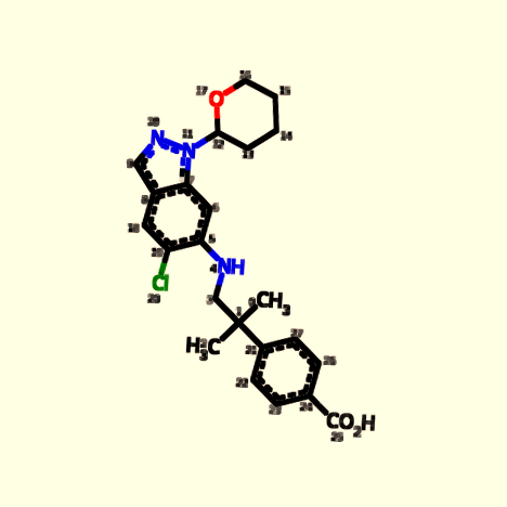 CC(C)(CNc1cc2c(cnn2C2CCCCO2)cc1Cl)c1ccc(C(=O)O)cc1